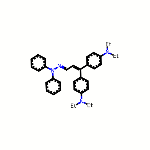 CCN(CC)c1ccc(C(=CC=NN(c2ccccc2)c2ccccc2)c2ccc(N(CC)CC)cc2)cc1